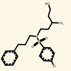 CC(CCO)CCN(CCCc1ccccc1)S(=O)(=O)c1ccc(Cl)cc1